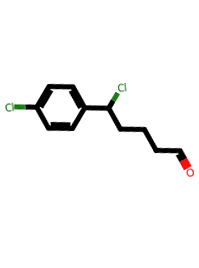 O=CCCCC(Cl)c1ccc(Cl)cc1